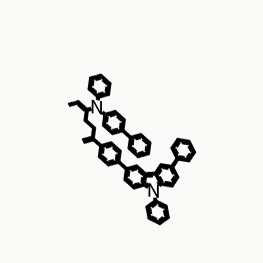 C=C(CC/C(=C\C)N(c1ccccc1)c1ccc(-c2ccccc2)cc1)c1ccc(-c2ccc3c(c2)c2cc(-c4ccccc4)ccc2n3-c2ccccc2)cc1